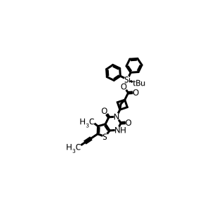 CC#Cc1sc2[nH]c(=O)n(C34CC(C(=O)O[Si](c5ccccc5)(c5ccccc5)C(C)(C)C)(C3)C4)c(=O)c2c1C